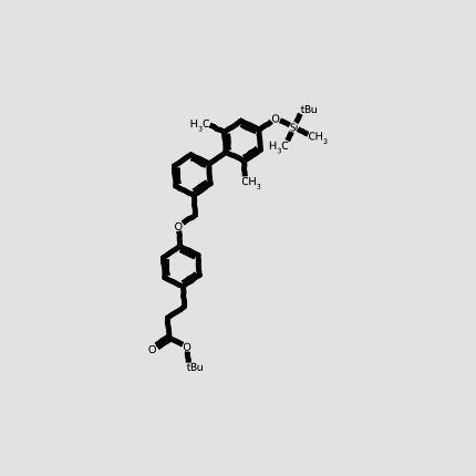 Cc1cc(O[Si](C)(C)C(C)(C)C)cc(C)c1-c1cccc(COc2ccc(CCC(=O)OC(C)(C)C)cc2)c1